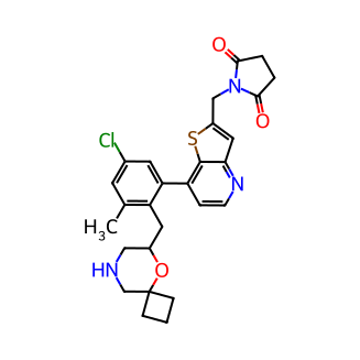 Cc1cc(Cl)cc(-c2ccnc3cc(CN4C(=O)CCC4=O)sc23)c1CC1CNCC2(CCC2)O1